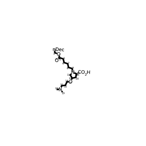 CCCCCCCCCCCOC(=O)CCCCCN1CC(OCCCN(C)C)C[C@H]1C(=O)O